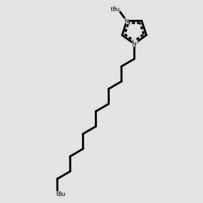 CC(C)(C)CCCCCCCCCCCC[n+]1ccn(C(C)(C)C)c1